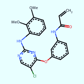 C=CC(=O)Nc1cccc(Oc2nc(Nc3cccc(OC)c3OC)ncc2Cl)c1